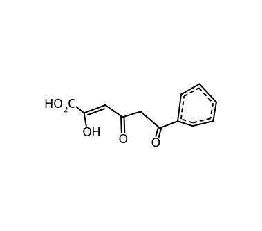 O=C(/C=C(\O)C(=O)O)CC(=O)c1ccccc1